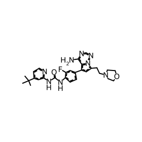 CC(C)(C)c1ccnc(NC(=O)Nc2ccc(-c3cc(CCN4CCOCC4)n4ncnc(N)c34)cc2F)c1